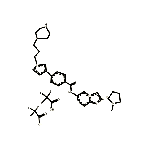 CN1CCC[C@@H]1c1cn2cc(NC(=O)c3ccc(-c4cnn(CCCC5CCNCC5)c4)cc3)ncc2n1.O=C(O)C(F)(F)F.O=C(O)C(F)(F)F